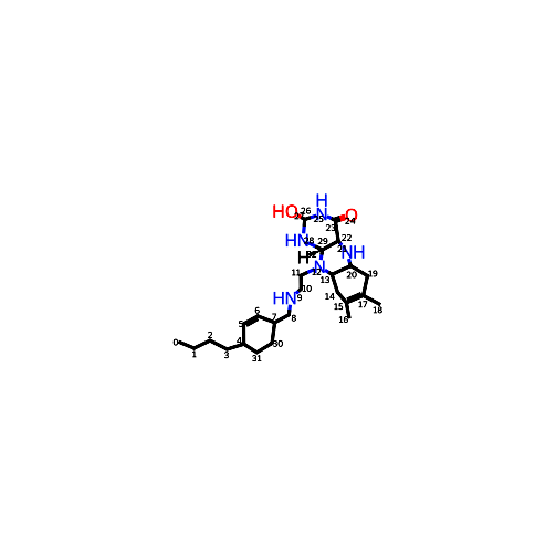 CCCCC1C=CC(CNCCN2C3CC(C)=C(C)CC3NC3C(=O)NC(O)N[C@H]32)CC1